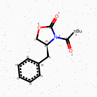 CCCCC(=O)N1C(=O)OC[C@@H]1Cc1ccccc1